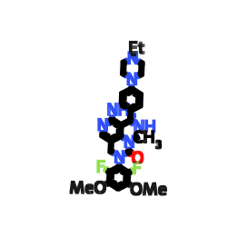 CCN1CCN(c2ccc(C(=N)c3c(N)ncc4c3N(C)C(=O)N(c3c(F)c(OC)cc(OC)c3F)C4)cc2)CC1